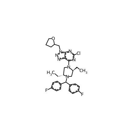 CC[C@H]1CN(C(c2ccc(F)cc2)c2ccc(F)cc2)[C@H](CC)CN1c1nc(Cl)nc2c1nnn2CC1CCCO1